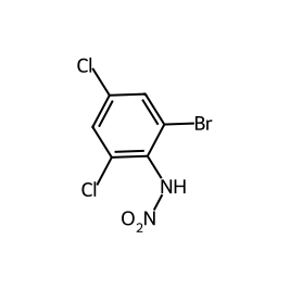 O=[N+]([O-])Nc1c(Cl)cc(Cl)cc1Br